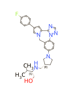 CC(C)[C@@H](CO)NC[C@H]1CCN(c2ccc3c(c2)Cn2cc(-c4ccc(F)cc4)cc2-c2ncnn2-3)C1